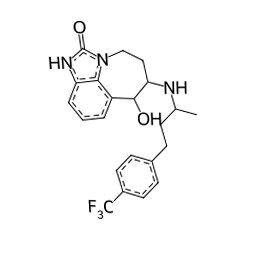 CC(CCc1ccc(C(F)(F)F)cc1)NC1CCn2c(=O)[nH]c3cccc(c32)C1O